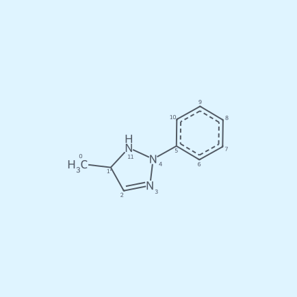 C[C]1C=NN(c2ccccc2)N1